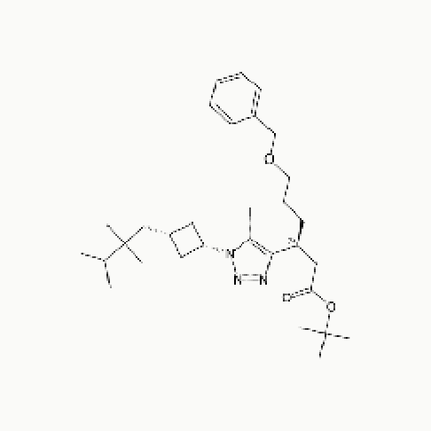 CC(C)C(C)(C)C[C@H]1C[C@@H](n2nnc([C@@H](CCCOCc3ccccc3)CC(=O)OC(C)(C)C)c2I)C1